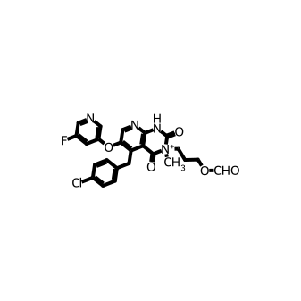 C[N+]1(CCCOC=O)C(=O)Nc2ncc(Oc3cncc(F)c3)c(Cc3ccc(Cl)cc3)c2C1=O